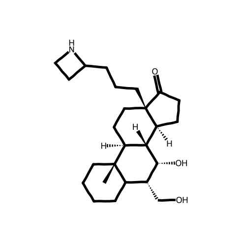 C[C@]12CCCCC1[C@@H](CO)[C@@H](O)[C@H]1[C@@H]3CCC(=O)[C@@]3(CCCC3CCN3)CC[C@@H]12